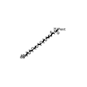 CCCC(C)C(=O)NCC(F)COCCOCCOCCOCCOCCOCCNC(C)CC